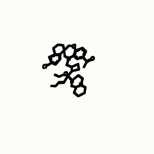 CC/C=C/[C@@](OCC)(C1CCC1CN1C[C@@]2(CCCc3cc(Cl)ccc32)COc2ccc(C(C)=O)cc21)N1CCN2CCCCC2C1